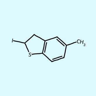 Cc1ccc2c(c1)CC(I)S2